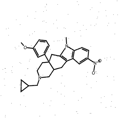 COc1cccc(C23CCN(CC4CC4)CC2Cc2c(n(C)c4ccc([N+](=O)[O-])cc24)C3)c1